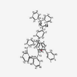 c1ccc(-c2ccc(N(c3ccc(-c4nc(-c5ccccc5)c5ccccc5n4)cc3)c3cccc4c3-c3ccccc3Cc3ccccc3-c3ccccc3C4)cc2)cc1